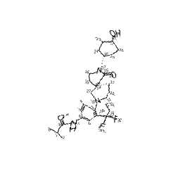 CC(C)C(=O)Nc1ccc(N2CCC[C@@]3(CCN([C@H]4CC[C@H](O)CC4)C3=O)C2)c(C(F)(F)F)c1